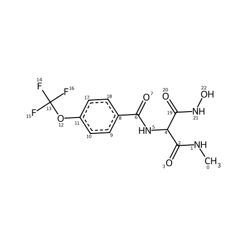 CNC(=O)C(NC(=O)c1ccc(OC(F)(F)F)cc1)C(=O)NO